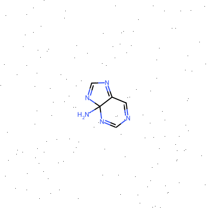 NC12N=CN=CC1=NC=N2